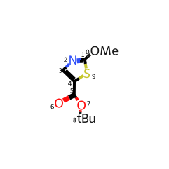 COc1ncc(C(=O)OC(C)(C)C)s1